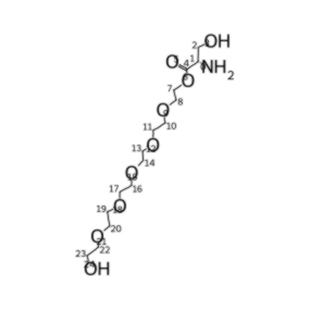 N[C@@H](CO)C(=O)OCCOCCOCCOCCOCCOCCO